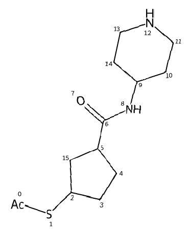 CC(=O)SC1CCC(C(=O)NC2CCNCC2)C1